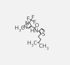 CC(C)CCc1sccc1NC(=O)c1cn(C)nc1C(F)(F)F